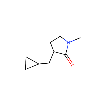 CN1CCC(CC2CC2)C1=O